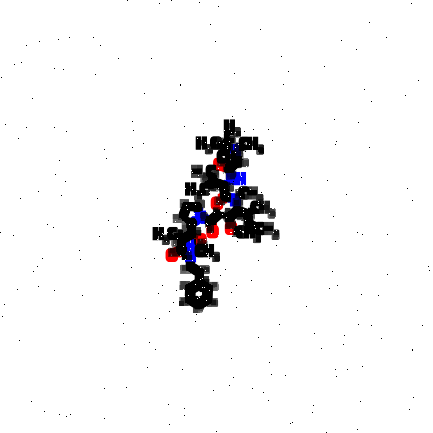 CC[C@H](C)[C@@H]([C@@H](CC(=O)N1CCC[C@H]1[C@H](OC)[C@@H](C)C(=O)NCCc1ccccc1)OC)N(C)C(=O)[C@@H](NC(=O)CN(C)C(C)(C)C)C(C)C